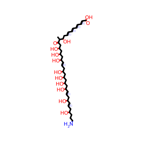 CC(C(=O)CC(O)CC(O)CC(O)/C=C/CC(O)CC(O)CC(O)CC(O)/C=C/CC(O)/C=C/CC(O)CCCN)C(O)C/C=C/C=C/C=C/C=C/C(=O)O